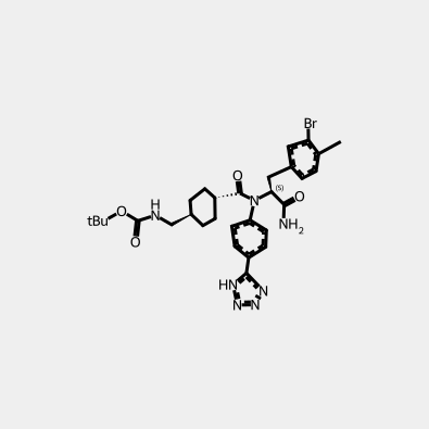 Cc1ccc(C[C@@H](C(N)=O)N(c2ccc(-c3nnn[nH]3)cc2)C(=O)[C@H]2CC[C@H](CNC(=O)OC(C)(C)C)CC2)cc1Br